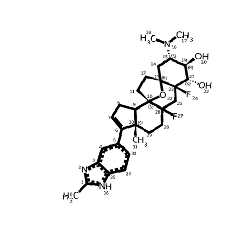 Cc1nc2cc(C3=CCC4[C@@]56CC[C@]7(C[C@H](N(C)C)[C@@H](O)[C@H](O)C7(F)CC5(F)CC[C@]34C)O6)ccc2[nH]1